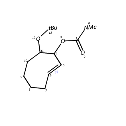 CNC(=O)OC1/C=C/CCCCC1OC(C)(C)C